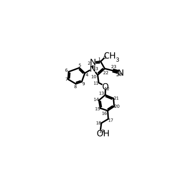 Cc1nn(-c2ccccc2)c(COc2ccc(CCO)cc2)c1C#N